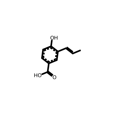 CC=Cc1cc(C(=O)O)ccc1O